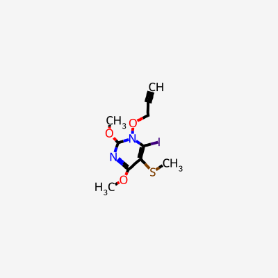 C#CCON1C(I)=C(SC)C(OC)=NC1OC